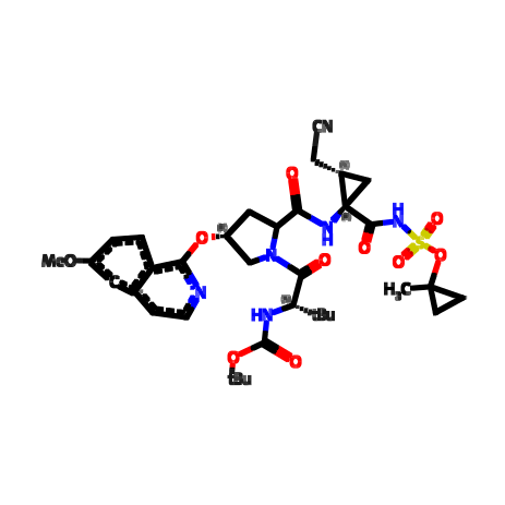 COc1ccc2c(O[C@@H]3CC(C(=O)N[C@]4(C(=O)NS(=O)(=O)OC5(C)CC5)C[C@H]4CC#N)N(C(=O)[C@@H](NC(=O)OC(C)(C)C)C(C)(C)C)C3)nccc2c1